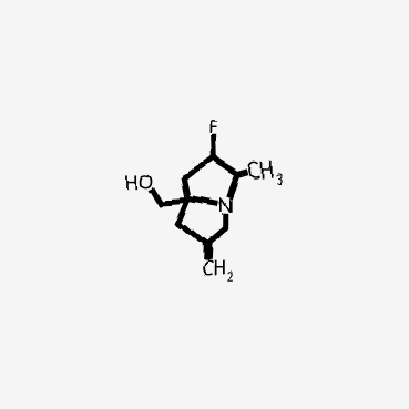 C=C1CN2C(C)C(F)CC2(CO)C1